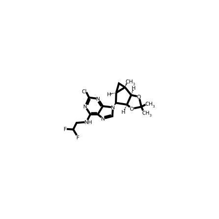 CC1(C)O[C@H]2[C@H](n3cnc4c(NCC(F)F)nc(Cl)nc43)[C@H]3C[C@@]3(C)[C@H]2O1